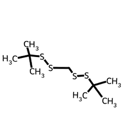 CC(C)(C)SSCSSC(C)(C)C